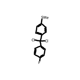 CSc1ccc(C(Cl)(Cl)c2ccc(F)cc2)cc1